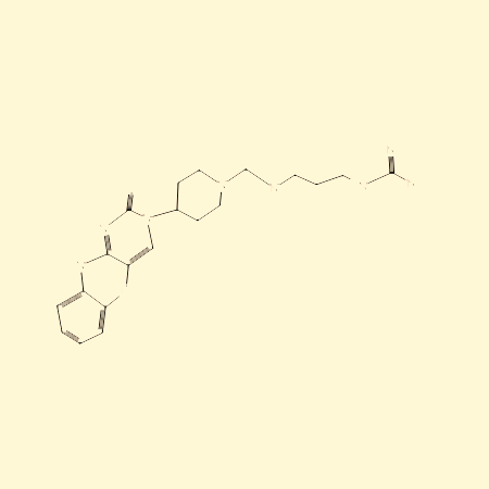 N=C(N)NCCCNCN1CCC(n2cc3c(nc2=O)Nc2ccccc2O3)CC1